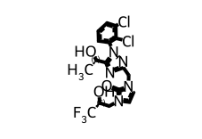 C[C@H](O)c1nc(Cn2ccn(C[C@H](O)C(F)(F)F)c2=O)nn1-c1cccc(Cl)c1Cl